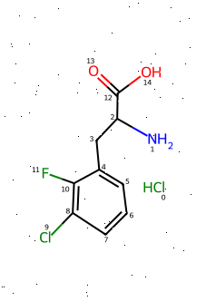 Cl.NC(Cc1cccc(Cl)c1F)C(=O)O